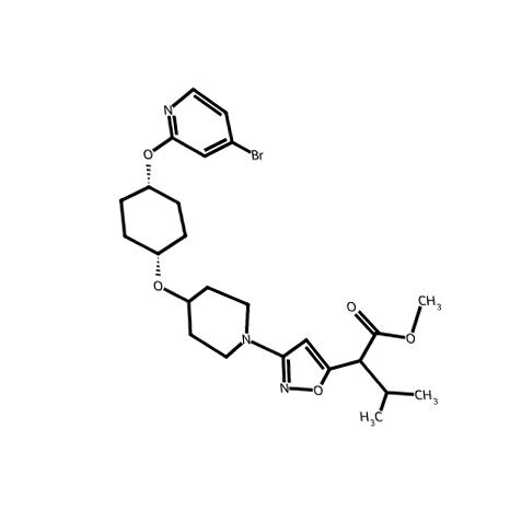 COC(=O)C(c1cc(N2CCC(O[C@H]3CC[C@@H](Oc4cc(Br)ccn4)CC3)CC2)no1)C(C)C